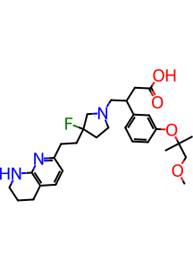 COCC(C)(C)Oc1cccc(C(CC(=O)O)CN2CCC(F)(CCc3ccc4c(n3)NCCC4)C2)c1